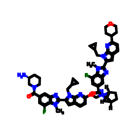 Cn1c(-c2cc3ccc(OCN[C@@H]4[C@@H]5CC[C@H]4N(C(=O)c4cc(F)c6c(c4)nc(-c4cc7ccc(C8CCOCC8)nc7n4CC4CC4)n6C)C5)nc3n2CC2CC2)nc2cc(C(=O)N3CCC[C@@H](N)C3)cc(F)c21